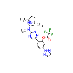 CN(c1ncc(-c2ccc(-n3nccn3)cc2OC(=O)C(F)(F)F)nn1)C1CC2(C)CC[C@@](C)(C1)N2